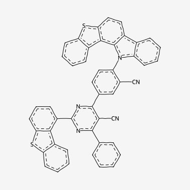 N#Cc1cc(-c2nc(-c3cccc4sc5ccccc5c34)nc(-c3ccccc3)c2C#N)ccc1-n1c2ccccc2c2ccc3sc4ccccc4c3c21